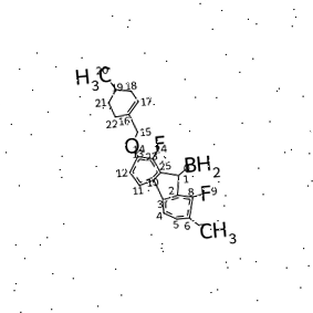 BC1c2c(ccc(C)c2F)-c2ccc(OCC3=CCC(C)CC3)c(F)c21